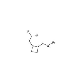 CC(C)OCC1CCN1CC(F)F